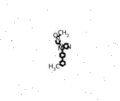 C=CC(=O)N1CC[C@@H](n2nc(-c3ccc(C4=CC(C)=CCC4)cc3)c3cnccc32)C1